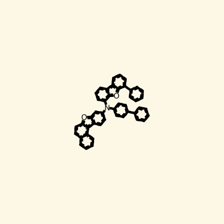 c1ccc(-c2ccc(N(c3ccc4c(c3)oc3ccc5ccccc5c34)c3cccc4c3oc3c(-c5ccccc5)cccc34)cc2)cc1